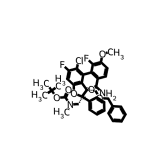 COc1ccc(C(N)=O)c(-c2c(Cl)c(F)cc3c2[C@H](COCc2ccccc2)[C@@](CN(C)C(=O)OC(C)(C)C)(c2ccccc2)O3)c1F